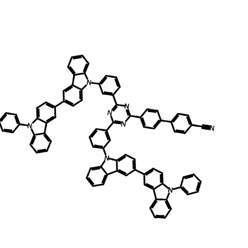 N#Cc1ccc(-c2ccc(-c3nc(-c4cccc(-n5c6ccccc6c6cc(-c7ccc8c(c7)c7ccccc7n8-c7ccccc7)ccc65)c4)nc(-c4cccc(-n5c6ccccc6c6cc(-c7ccc8c(c7)c7ccccc7n8-c7ccccc7)ccc65)c4)n3)cc2)cc1